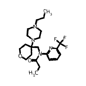 CCCN1CCN(C2(CN(C(=O)CC)c3cccc(C(F)(F)F)n3)CCOCC2)CC1